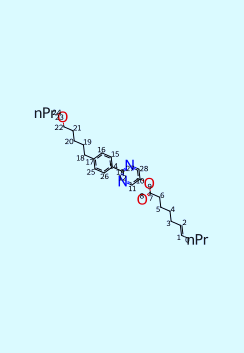 CCCC=CCCCCC(=O)Oc1cnc(-c2ccc(CCCCCOCCC)cc2)nc1